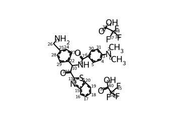 CN(C)c1ccc(C(=O)NC(C(=O)c2nc3ccccc3s2)c2ccc(CN)cc2)cc1.O=C(O)C(F)(F)F.O=C(O)C(F)(F)F